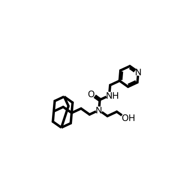 O=C(NCc1ccncc1)N(CCO)CCC12CC3CC(CC(C3)C1)C2